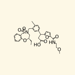 CC[C@@H]1CN(Cc2cc(C(CC(=O)O)c3ccc(C(=O)NCCOC)o3)ccc2C)S(=O)(=O)c2ccccc2O1